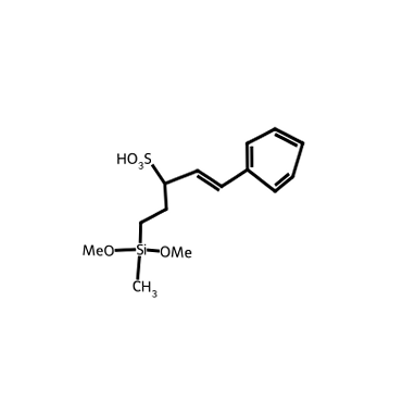 CO[Si](C)(CCC(C=Cc1ccccc1)S(=O)(=O)O)OC